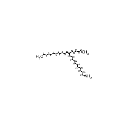 CCCCCCCCCCCCC(CCCCCC)CCCCCCCCCCCN